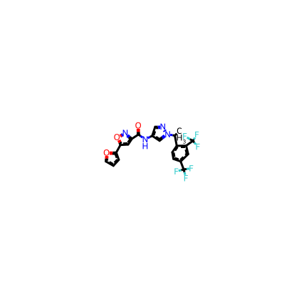 CC(c1ccc(C(F)(F)F)cc1C(F)(F)F)n1cc(NC(=O)c2cc(-c3ccco3)on2)cn1